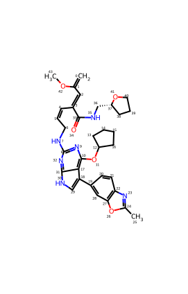 C=C(/C=C(\C=C/CNc1nc(OC2CCCC2)c2c(-c3ccc4nc(C)oc4c3)c[nH]c2n1)C(=O)NC[C@H]1CCCO1)OC